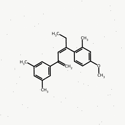 C=C(/C=C(/CC)c1ccc(OC)cc1C)c1cc(C)cc(C)c1